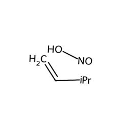 C=CC(C)C.O=NO